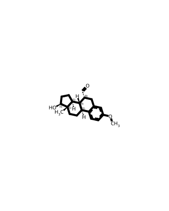 COc1ccc2c(c1)C[C@@H](C=O)[C@@H]1[C@@H]2CC[C@]2(C)[C@@H](O)CC[C@@H]12